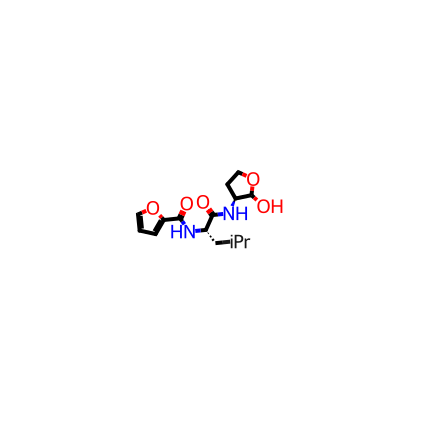 CC(C)C[C@H](NC(=O)c1ccco1)C(=O)N[C@H]1CCOC1O